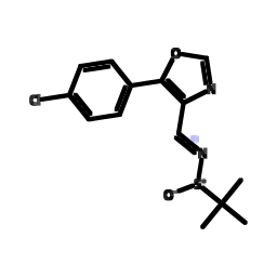 CC(C)(C)[S+]([O-])/N=C/c1ncoc1-c1ccc(Cl)cc1